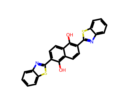 Oc1c(-c2nc3ccccc3s2)ccc2c(O)c(-c3nc4ccccc4s3)ccc12